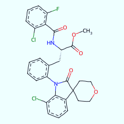 COC(=O)[C@H](Cc1ccccc1N1C(=O)C2(CCOCC2)c2cccc(Cl)c21)NC(=O)c1c(F)cccc1Cl